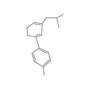 Cc1ccc(C2=CC(CC(C)C)=CC[CH]2)cc1